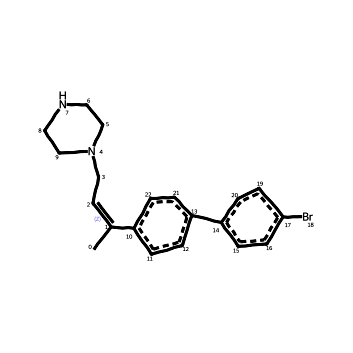 C/C(=C/CN1CCNCC1)c1ccc(-c2ccc(Br)cc2)cc1